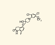 O=C1CCc2c(OCC3(O)CCN(c4cc(OC(F)(F)F)c(Cl)cc4Cl)CC3)ccc(F)c2N1